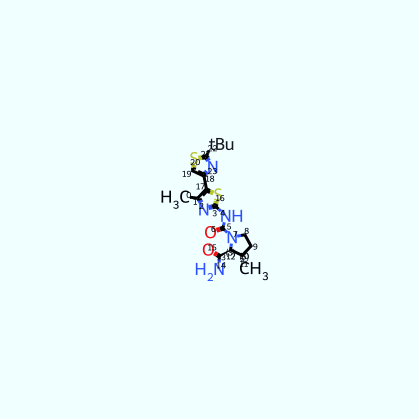 Cc1nc(NC(=O)N2CC[C@H](C)[C@H]2C(N)=O)sc1-c1csc(C(C)(C)C)n1